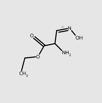 CCOC(=O)C(N)/C=N\O